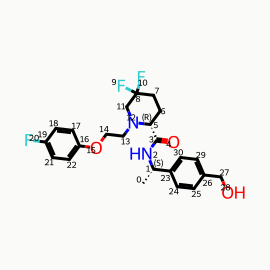 C[C@H](NC(=O)[C@H]1CCC(F)(F)CN1CCOc1ccc(F)cc1)c1ccc(CO)cc1